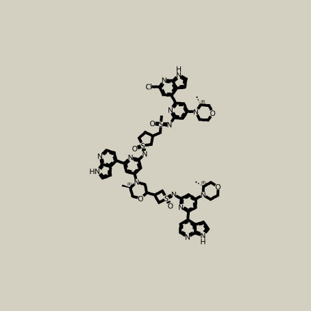 C[C@@H]1COCCN1c1cc(N=S2(=O)CC(C3CN(c4cc(N=S5(=O)CCC(CS(C)(=O)=Nc6cc(N7CCOC[C@H]7C)cc(-c7cc(Cl)nc8[nH]ccc78)n6)C5)nc(-c5ccnc6[nH]ccc56)c4)[C@H](C)CO3)C2)nc(-c2ccnc3[nH]ccc23)c1